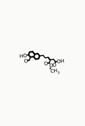 CCOC(=O)C(=CCCc1ccc2c(C=O)c(O)ccc2c1)CC(=O)O